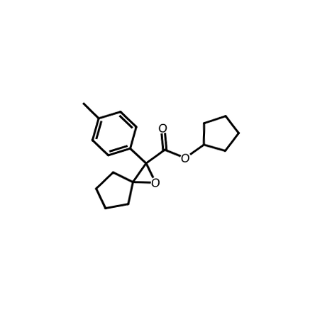 Cc1ccc(C2(C(=O)OC3CCCC3)OC23CCCC3)cc1